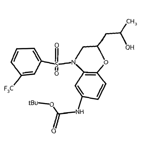 CC(O)CC1CN(S(=O)(=O)c2cccc(C(F)(F)F)c2)c2cc(NC(=O)OC(C)(C)C)ccc2O1